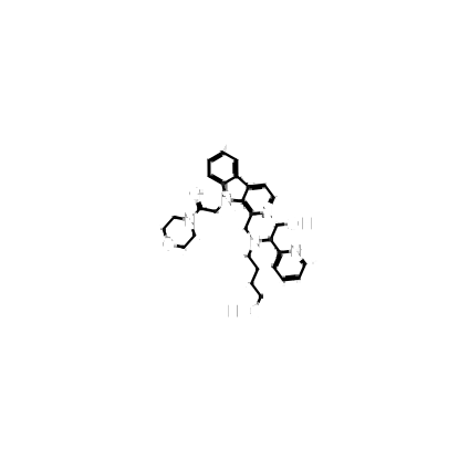 CCCCCN(Cc1nccc2c3ccccc3n(CC(=O)N3CCOCC3)c12)C(CO)c1ccccn1